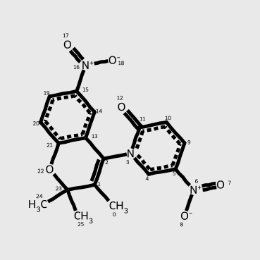 CC1=C(n2cc([N+](=O)[O-])ccc2=O)c2cc([N+](=O)[O-])ccc2OC1(C)C